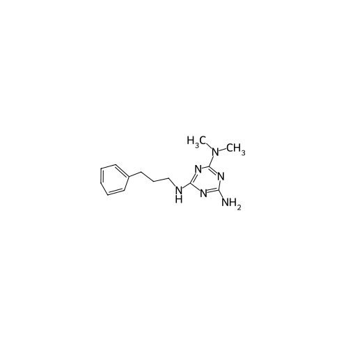 CN(C)c1nc(N)nc(NCCCc2ccccc2)n1